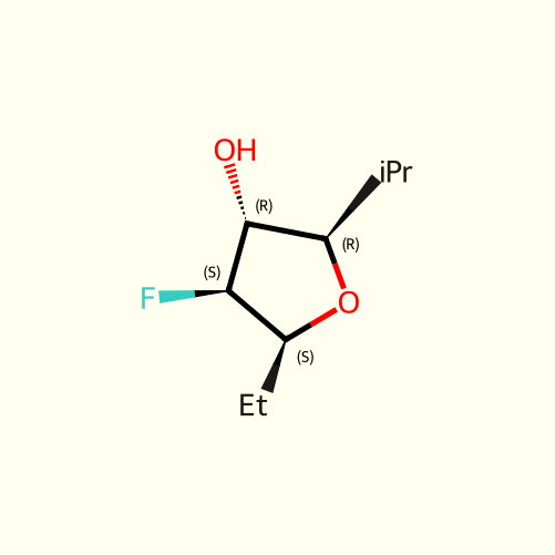 CC[C@@H]1O[C@H](C(C)C)[C@@H](O)[C@@H]1F